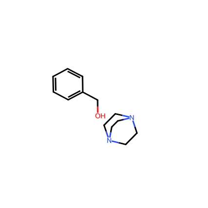 C1CN2CCN1CC2.OCc1ccccc1